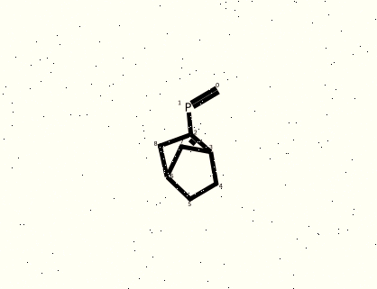 C=PC1=C2CCC(C2)C1